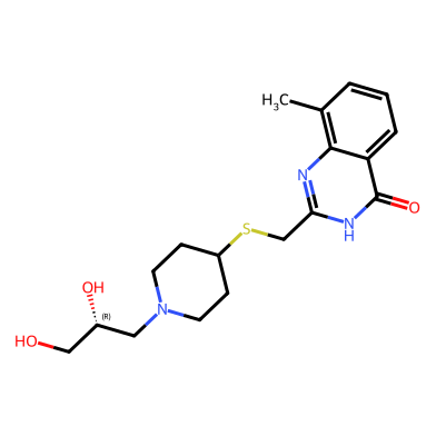 Cc1cccc2c(=O)[nH]c(CSC3CCN(C[C@@H](O)CO)CC3)nc12